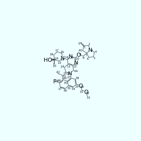 C=C1CN2CCCC2(COc2nc3c(c(N4CCC[C@@](C)(O)C4)n2)CCN(c2cc(OCOC)cc4ccc(F)c(CC)c24)C3)C1